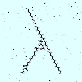 CCCCCCCCCCCCCCCCCCN(CCCCCCCCCCCCCCCCCC)C(=O)C(CCC(=O)NCCOCCOCCNC(=O)CCC)NC(C)=O